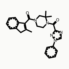 CC1=C(C(=O)N2CCN(C(=O)c3ncn(-c4ccccc4)n3)C(C)(C)C2)c2ccccc2C1